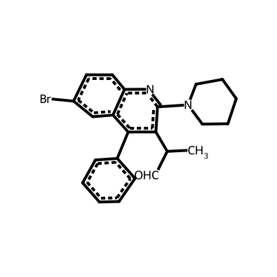 CC(C=O)c1c(N2CCCCC2)nc2ccc(Br)cc2c1-c1ccccc1